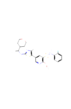 COc1ncc(-c2sc(NC(C)C3CCOCC3)nc2C)cc1S(=O)(=O)Nc1ccccc1F